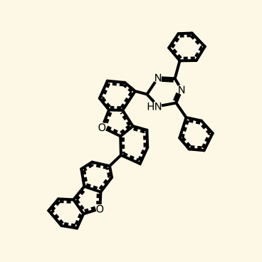 c1ccc(C2=NC(c3cccc4oc5c(-c6ccc7c(c6)oc6ccccc67)cccc5c34)NC(c3ccccc3)=N2)cc1